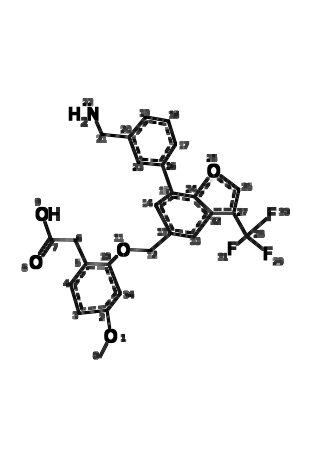 COc1ccc(CC(=O)O)c(OCc2cc(-c3cccc(CN)c3)c3occ(C(F)(F)F)c3c2)c1